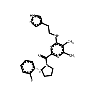 Cc1nc(C(=O)N2CCC[C@@H]2c2ccccc2F)nc(NCCc2cn[nH]c2)c1C